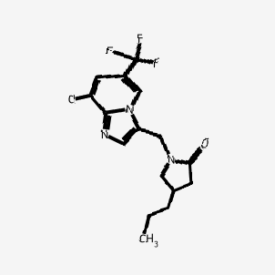 CCCC1CC(=O)N(Cc2cnc3c(Cl)cc(C(F)(F)F)cn23)C1